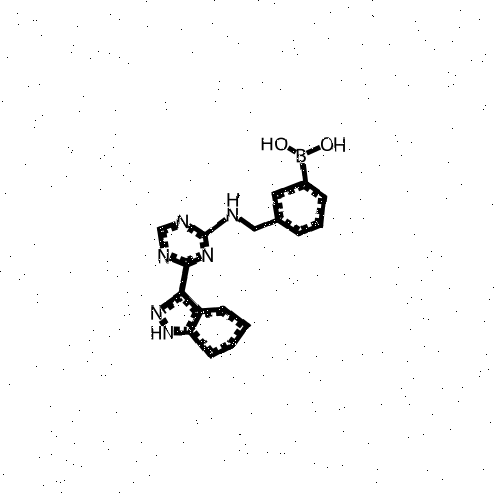 OB(O)c1cccc(CNc2ncnc(-c3n[nH]c4ccccc34)n2)c1